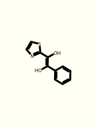 OC(=C(O)c1nccs1)c1ccccc1